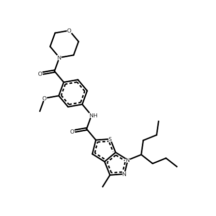 CCCC(CCC)n1nc(C)c2cc(C(=O)Nc3ccc(C(=O)N4CCOCC4)c(OC)c3)sc21